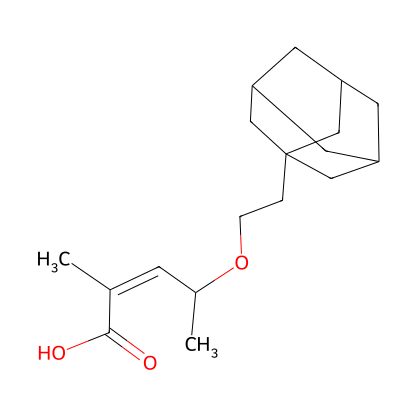 CC(=CC(C)OCCC12CC3CC(CC(C3)C1)C2)C(=O)O